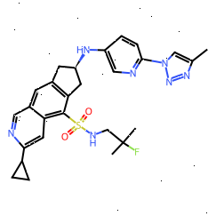 Cc1cn(-c2ccc(N[C@@H]3Cc4cc5cnc(C6CC6)cc5c(S(=O)(=O)NCC(C)(C)F)c4C3)cn2)nn1